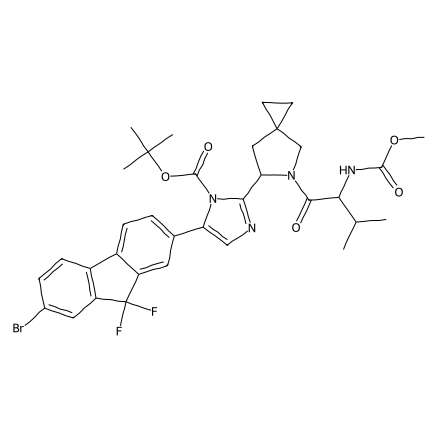 COC(=O)NC(C(=O)N1CC2(CC2)CC1c1ncc(-c2ccc3c(c2)C(F)(F)c2cc(Br)ccc2-3)n1C(=O)OC(C)(C)C)C(C)C